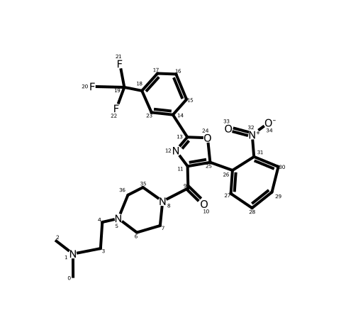 CN(C)CCN1CCN(C(=O)c2nc(-c3cccc(C(F)(F)F)c3)oc2-c2ccccc2[N+](=O)[O-])CC1